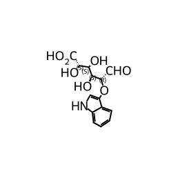 O=C[C@H](Oc1c[nH]c2ccccc12)[C@@H](O)[C@H](O)[C@H](O)C(=O)O